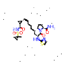 CC1(S(=O)(=O)NC(=O)[C@H]2C[C@H]2/C=C\CCCCC[C@H](Nc2nccs2)C(=O)N2CCC[C@H]2C(N)=O)CC1